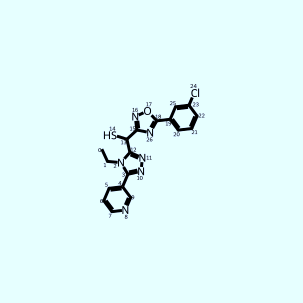 CCn1c(-c2cccnc2)nnc1C(S)c1noc(-c2cccc(Cl)c2)n1